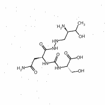 CC(O)[C@H](N)CNNC(=O)[C@H](CC(N)=O)NC(=O)N[C@@H](CO)C(=O)O